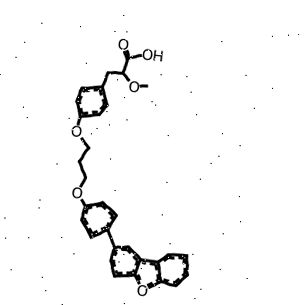 COC(Cc1ccc(OCCCOc2ccc(-c3ccc4oc5ccccc5c4c3)cc2)cc1)C(=O)O